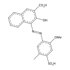 COc1cc(S(=O)(=O)O)c(C)cc1N=Nc1c(O)c(C(=O)O)cc2ccccc12